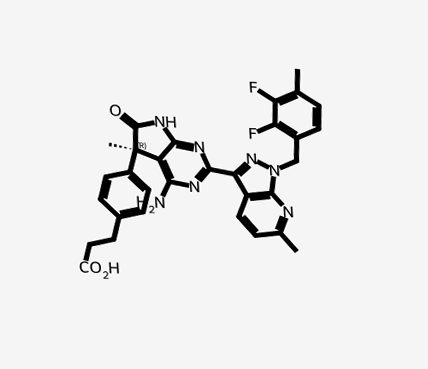 Cc1ccc2c(-c3nc(N)c4c(n3)NC(=O)[C@]4(C)c3ccc(CCC(=O)O)cc3)nn(Cc3ccc(C)c(F)c3F)c2n1